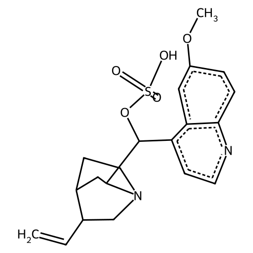 C=CC1CN2CCC1CC2C(OS(=O)(=O)O)c1ccnc2ccc(OC)cc12